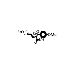 CCOC(=O)CCCN1C(=O)Nc2cc(OC)ccc2S1(=O)=O